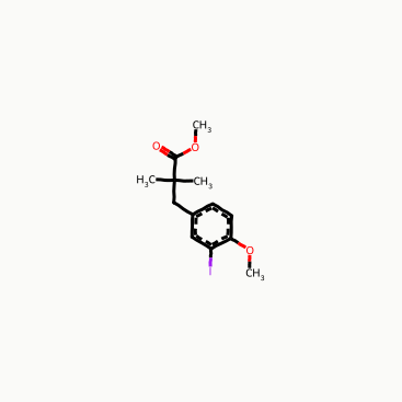 COC(=O)C(C)(C)Cc1ccc(OC)c(I)c1